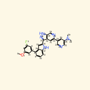 COc1cc(F)cc(-c2cccc3[nH]c(-c4n[nH]c5cnc(-c6cncc(N(C)C)c6)cc45)cc23)c1